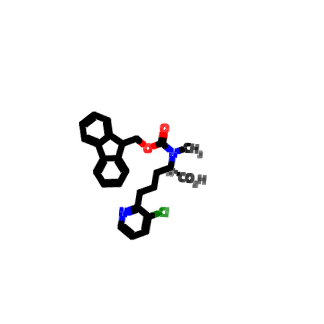 CN(C(=O)OCC1c2ccccc2-c2ccccc21)[C@@H](CCCc1ncccc1Cl)C(=O)O